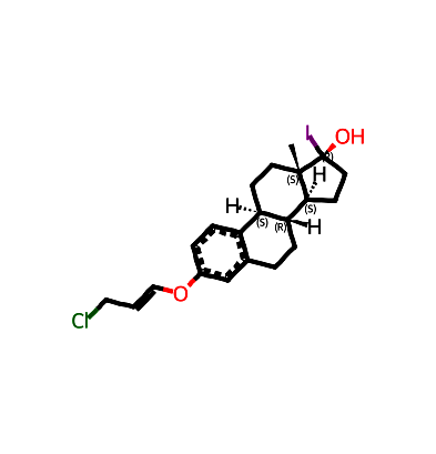 C[C@]12CC[C@@H]3c4ccc(OC=CCCl)cc4CC[C@H]3[C@@H]1CC[C@@]2(O)I